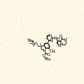 CN1CCn2ncc(Nc3nccc(-c4cc(C#N)c5c(c4)[C@@](C)(CO[Si](C)(C)C(C)(C)C)CN5C(=O)OC(C)(C)C)n3)c2C1=O